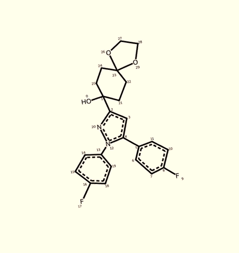 OC1(c2cc(-c3ccc(F)cc3)n(-c3ccc(F)cc3)n2)CCC2(CC1)OCCO2